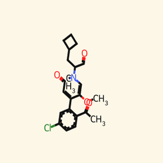 COC(=C/N(C)C(C=O)CC1CCC1)/C(=C\C=O)c1cc(Cl)ccc1C(C)=O